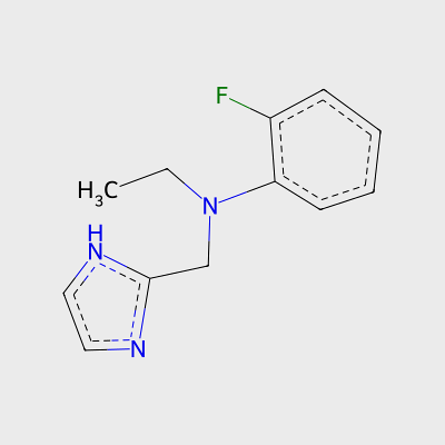 CCN(Cc1ncc[nH]1)c1ccccc1F